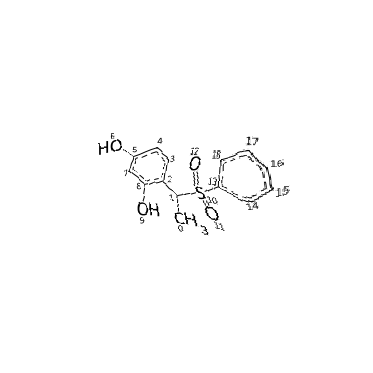 CC(c1ccc(O)cc1O)S(=O)(=O)c1ccccc1